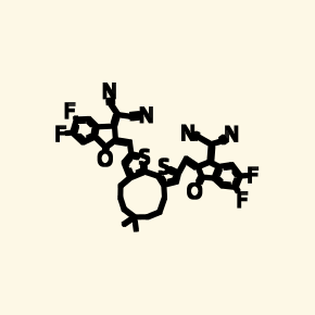 CC1(C)CCCc2cc(/C=C3\C(=O)c4cc(F)c(F)cc4C3=C(C#N)C#N)sc2-c2sc(/C=C3\C(=O)c4cc(F)c(F)cc4C3=C(C#N)C#N)cc2CCC1